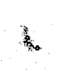 CCC[C@]1(CCc2ccc(F)cc2)CC(O)=C(C(c2cccc(NS(=O)(=O)c3cn(C)cn3)c2)C(C)(C)C)C(=O)O1